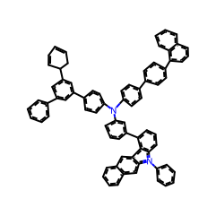 C1=CCC(c2cc(-c3ccccc3)cc(-c3ccc(N(c4ccc(-c5ccc(-c6cccc7ccccc67)cc5)cc4)c4cccc(-c5cccc6c5c5cc7ccccc7cc5n6-c5ccccc5)c4)cc3)c2)C=C1